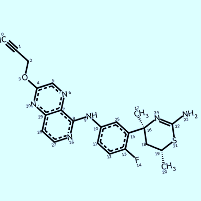 C#CCOc1cnc2c(Nc3ccc(F)c([C@]4(C)C[C@@H](C)SC(N)=N4)c3)nccc2n1